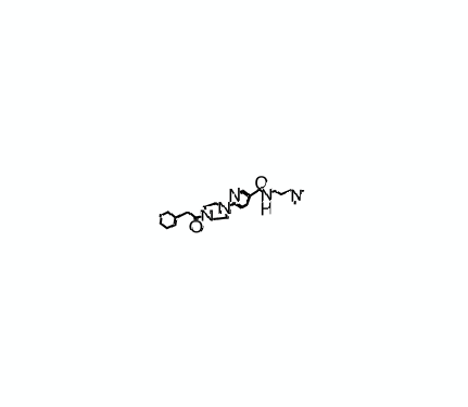 CN(C)CCCNC(=O)c1ccc(N2CCN(C(=O)CC3CCCCC3)CC2)nc1